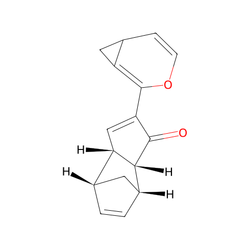 O=C1C(C2=C3CC3C=CO2)=C[C@@H]2[C@H]1[C@@H]1C=C[C@H]2C1